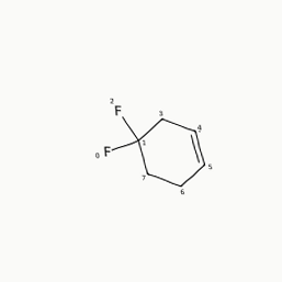 FC1(F)C[C]=CCC1